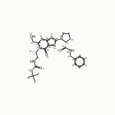 C[C@@H](CNC(=O)OC(C)(C)C)n1c(CO)nc2sc(N3CCC[C@@H]3C(=O)NCc3ccccc3)nc2c1=O